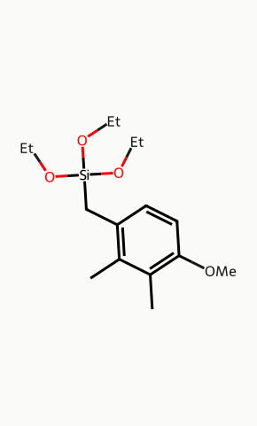 CCO[Si](Cc1ccc(OC)c(C)c1C)(OCC)OCC